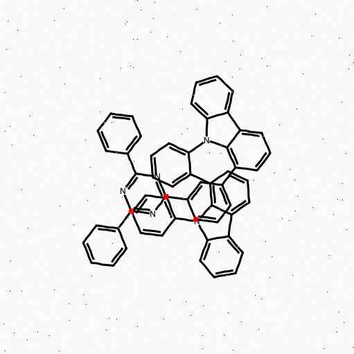 c1ccc(-c2nc(-c3ccccc3)nc(-c3cccc(-c4cccc5c6ccccc6n(-c6ccccc6-c6cccc7c8ccccc8n(-c8ccccc8)c67)c45)c3)n2)cc1